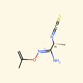 C=C(C)O/N=C(\N)[C@@H](C)N=C=S